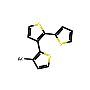 CC(=O)c1ccsc1-c1ccsc1-c1cccs1